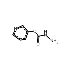 NNC(=O)Oc1cccnc1